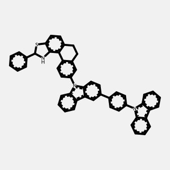 c1ccc(C2Nc3c(ccc4c3-c3ccc(-n5c6ccccc6c6cc(-c7ccc(-n8c9ccccc9c9ccccc98)cc7)ccc65)cc3CC4)S2)cc1